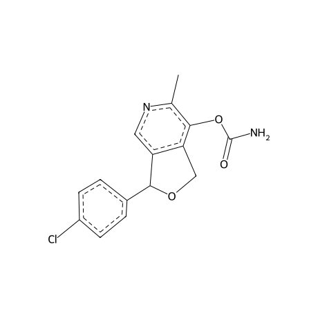 Cc1ncc2c(c1OC(N)=O)COC2c1ccc(Cl)cc1